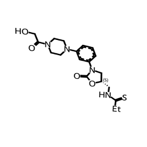 CCC(=S)NC[C@H]1CN(c2cccc(N3CCN(C(=O)CO)CC3)c2)C(=O)O1